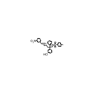 Cc1ccc(S(=O)(=O)NCC(CCCNCc2cccc([N+](=O)[O-])c2)(c2ccccc2)c2ccccc2)cc1.Cl